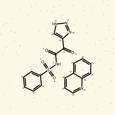 O=C(NS(=O)(=O)c1ccccc1)C(=O)c1c[nH]nn1.c1ccc2ncccc2c1